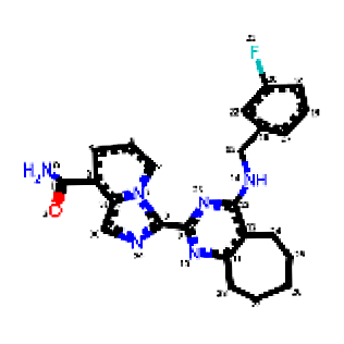 NC(=O)c1cccn2c(-c3nc4c(c(NCc5cccc(F)c5)n3)CCCCC4)ncc12